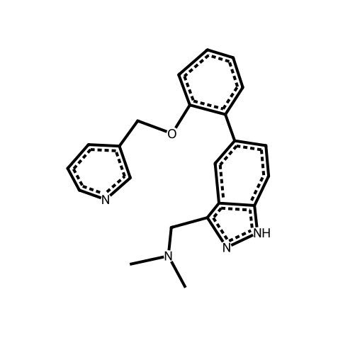 CN(C)Cc1n[nH]c2ccc(-c3ccccc3OCc3cccnc3)cc12